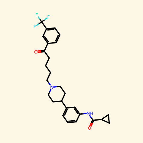 O=C(CCCCN1CCC(c2cccc(NC(=O)C3CC3)c2)CC1)c1cccc(C(F)(F)F)c1